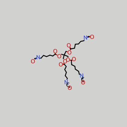 O=C=NCCCCCC(=O)OCC(COC(=O)CCCCCN=C=O)(COC(=O)CCCCCN=C=O)COC(=O)CCCCCN=C=O